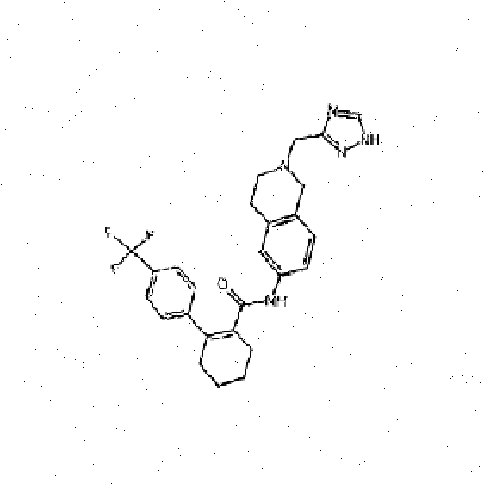 O=C(Nc1ccc2c(c1)CCN(Cc1nc[nH]n1)C2)C1=C(c2ccc(C(F)(F)F)cc2)CCCC1